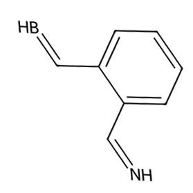 B=Cc1ccccc1C=N